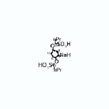 CCCC(Oc1ccc(OC(CCC)S(=O)(=O)O)cc1)S(=O)(=O)O.[NaH]